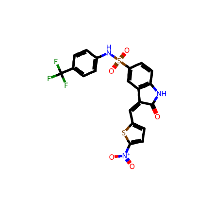 O=C1Nc2ccc(S(=O)(=O)Nc3ccc(C(F)(F)F)cc3)cc2C1=Cc1ccc([N+](=O)[O-])s1